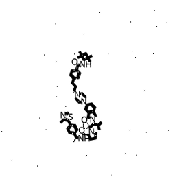 Cc1ncsc1-c1ccc([C@H](C)NC(=O)[C@@H]2CCCN2C(=O)C(C(C)C)N2Cc3ccc(N4CCN(CCCc5ccc(C(=O)NC6C(C)(C)CC6(C)C)cc5)CC4)cc3C2=O)cc1